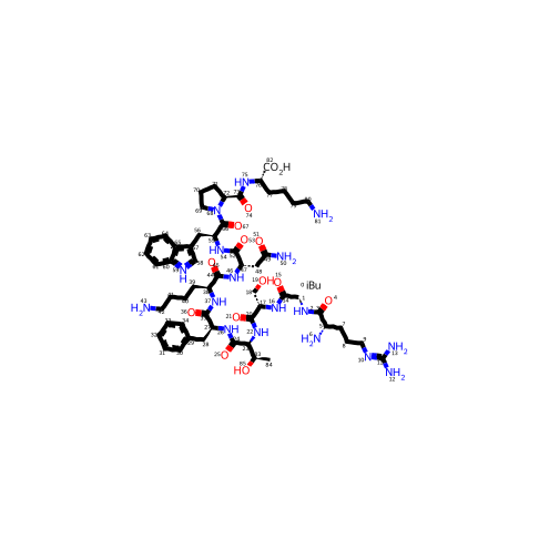 CC[C@H](C)[C@H](NC(=O)[C@@H](N)CCCN=C(N)N)C(=O)N[C@@H](CO)C(=O)N[C@H](C(=O)N[C@@H](Cc1ccccc1)C(=O)N[C@@H](CCCCN)C(=O)N[C@@H](CC(N)=O)C(=O)N[C@@H](Cc1c[nH]c2ccccc12)C(=O)N1CCC[C@H]1C(=O)N[C@@H](CCCCN)C(=O)O)[C@@H](C)O